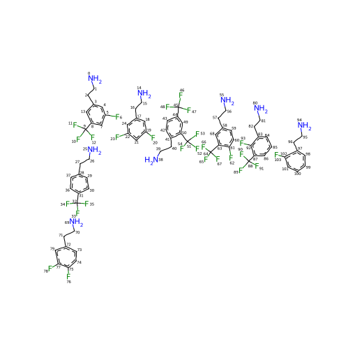 NCCc1cc(F)cc(C(F)(F)F)c1.NCCc1cc(F)cc(F)c1.NCCc1ccc(C(F)(F)F)cc1.NCCc1ccc(C(F)(F)F)cc1C(F)(F)F.NCCc1ccc(F)c(C(F)(F)F)c1.NCCc1ccc(F)c(F)c1.NCCc1cccc(C(F)(F)F)c1F.NCCc1ccccc1F